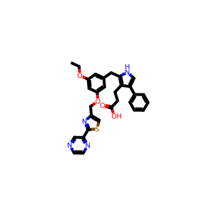 CCOc1cc(Cc2[nH]cc(-c3ccccc3)c2CCC(=O)O)cc(OCc2csc(-c3cnccn3)n2)c1